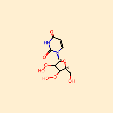 O=c1ccn([C@H]2O[C@@H](CO)C(OO)C2OO)c(=O)[nH]1